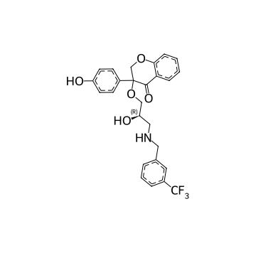 O=C1c2ccccc2OCC1(OC[C@H](O)CNCc1cccc(C(F)(F)F)c1)c1ccc(O)cc1